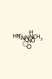 CC(=O)Nc1nc2c(c(N3CCNCC3)n1)CCCc1ccccc1-2